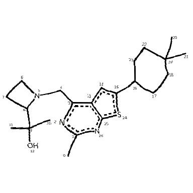 Cc1nc(CN2CCC2C(C)(C)O)c2cc(C3CCC(C)(C)CC3)sc2n1